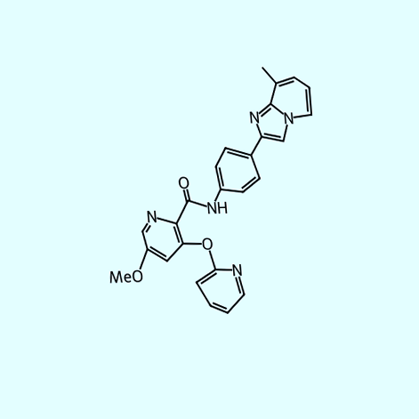 COc1cnc(C(=O)Nc2ccc(-c3cn4cccc(C)c4n3)cc2)c(Oc2ccccn2)c1